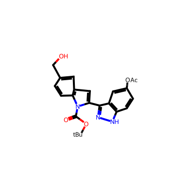 CC(=O)Oc1ccc2[nH]nc(-c3cc4cc(CO)ccc4n3C(=O)OC(C)(C)C)c2c1